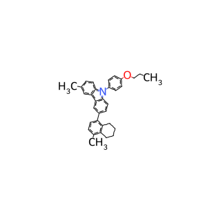 CCCOc1ccc(-n2c3ccc(C)cc3c3cc(-c4ccc(C)c5c4CCCC5)ccc32)cc1